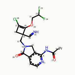 CC(C)C(=O)Nc1nccc2c1CN(C[C@@]1(C=N)CC(Cl)=C1OCC(F)F)C2=O